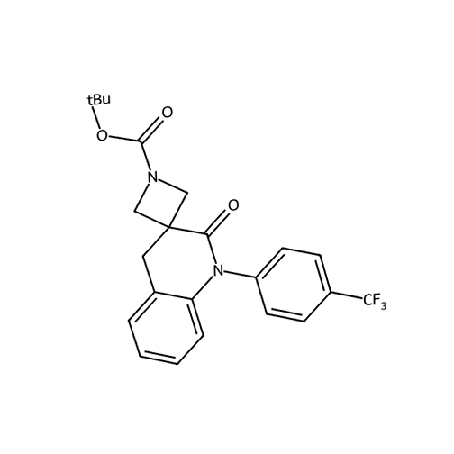 CC(C)(C)OC(=O)N1CC2(Cc3ccccc3N(c3ccc(C(F)(F)F)cc3)C2=O)C1